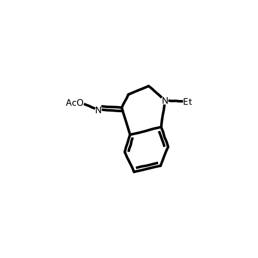 CCN1CC/C(=N\OC(C)=O)c2ccccc21